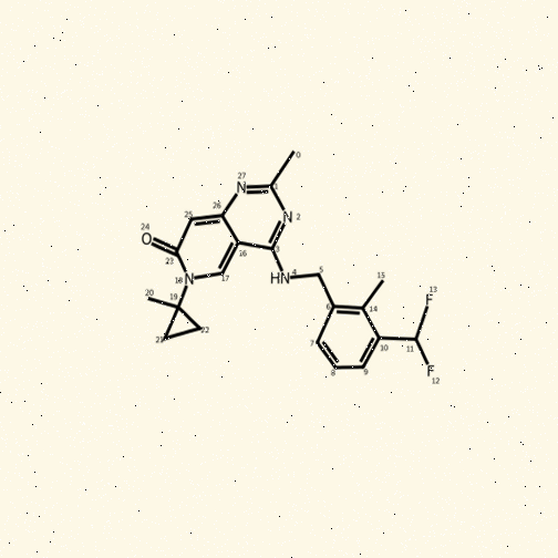 Cc1nc(NCc2cccc(C(F)F)c2C)c2cn(C3(C)CC3)c(=O)cc2n1